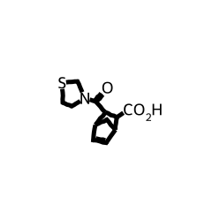 O=C(O)C1C2C=CC(C2)C1C(=O)N1CCSC1